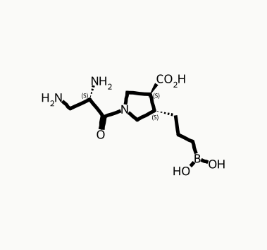 NC[C@H](N)C(=O)N1C[C@@H](CCCB(O)O)[C@H](C(=O)O)C1